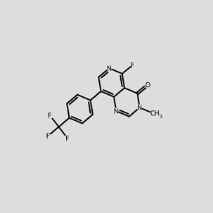 Cn1cnc2c(-c3ccc(C(F)(F)F)cc3)cnc(F)c2c1=O